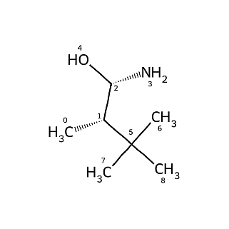 C[C@H]([C@@H](N)O)C(C)(C)C